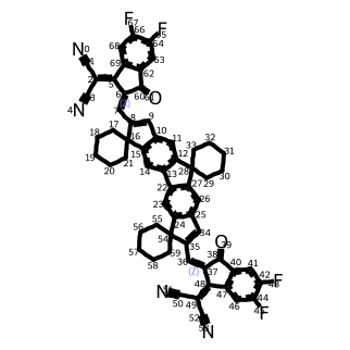 N#CC(C#N)=C1/C(=C/C2=Cc3cc4c(cc3C23CCCCC3)-c2cc3c(cc2C42CCCCC2)C=C(/C=C2\C(=O)c4cc(F)c(F)cc4C2=C(C#N)C#N)C32CCCCC2)C(=O)c2cc(F)c(F)cc21